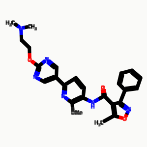 COc1nc(-c2cnc(OCCN(C)C)nc2)ccc1NC(=O)c1c(-c2ccccc2)noc1C